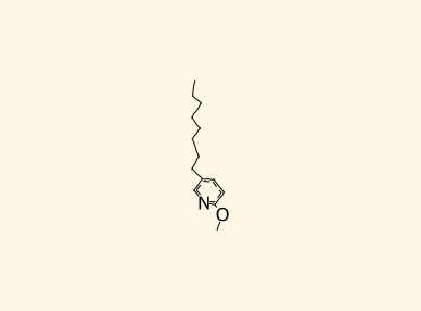 CCCCCCCCc1ccc(OC)nc1